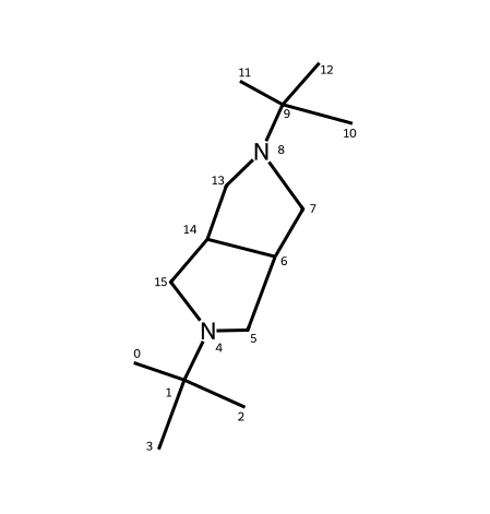 CC(C)(C)N1CC2CN(C(C)(C)C)CC2C1